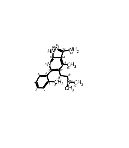 Cc1ccccc1-c1nc2[nH]nc(N)c2c(C)c1CCN(C)C